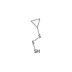 SSSC1CC1